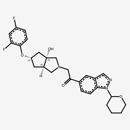 O=C(CN1C[C@H]2C[C@H](Oc3ccc(F)cc3F)C[C@@]2(O)C1)c1ccc2c(cnn2C2CCCCO2)c1